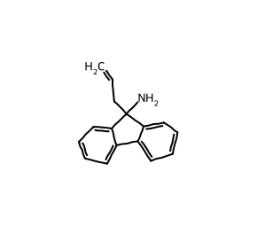 C=CCC1(N)c2ccccc2-c2ccccc21